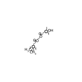 CC(C)Oc1c(I)cc(CCC(=O)OCCCOC(=O)CCc2cc(I)c(O)c(I)c2)cc1I